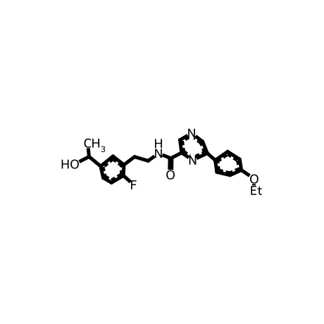 CCOc1ccc(-c2cncc(C(=O)NCCc3cc(C(C)O)ccc3F)n2)cc1